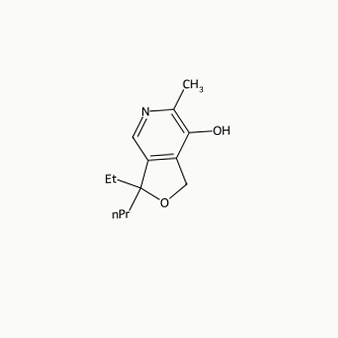 CCCC1(CC)OCc2c1cnc(C)c2O